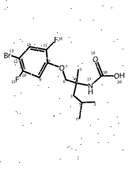 CC(C)CC(C)(COc1cc(F)c(Br)cc1F)NC(=O)O